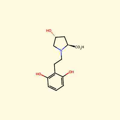 O=C(O)[C@@H]1C[C@@H](O)CN1CCc1c(O)cccc1O